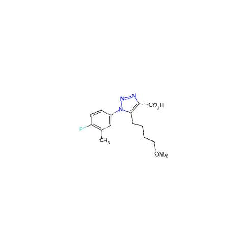 COCCCCc1c(C(=O)O)nnn1-c1ccc(F)c(C)c1